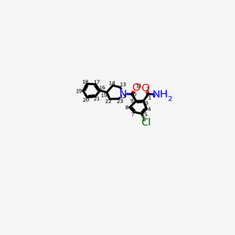 NC(=O)c1cc(Cl)ccc1C(=O)N1CCC(c2ccccc2)CC1